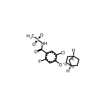 CS(=O)(=O)NC(=O)c1cc(Cl)c(O[C@@H]2C[C@@H]3CC[C@H]2C3)cc1F